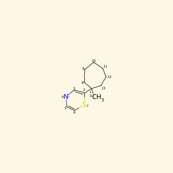 CC1(C2=C[N]C=CS2)CCCCCC1